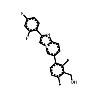 OCc1c(F)ccc(-c2ccc3nc(-c4ccc(F)cc4F)cn3c2)c1F